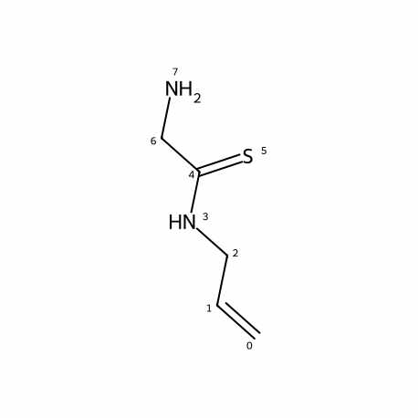 C=CCNC(=S)CN